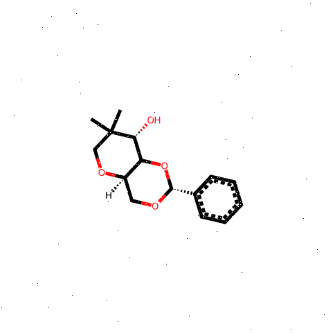 CC1(C)CO[C@@H]2CO[C@@H](c3ccccc3)OC2[C@H]1O